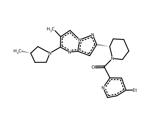 CCc1ccnc(C(=O)N2CCCC[C@H]2c2cc3nc(N4CC[C@H](C)C4)c(C)cn3n2)c1